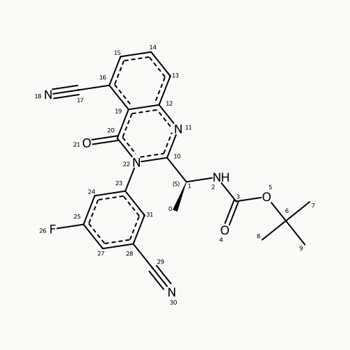 C[C@H](NC(=O)OC(C)(C)C)c1nc2cccc(C#N)c2c(=O)n1-c1cc(F)cc(C#N)c1